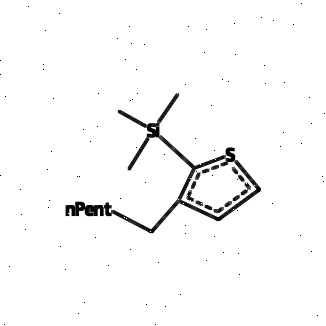 CCCCCCc1ccsc1[Si](C)(C)C